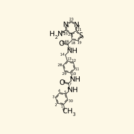 Cc1cccc(NC(=O)Nc2ccc(CNC(=O)c3csc4ncnc(N)c34)cc2)c1